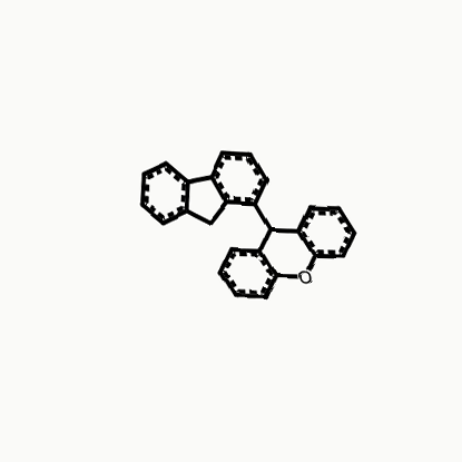 c1ccc2c(c1)Cc1c-2cccc1C1c2ccccc2Oc2ccccc21